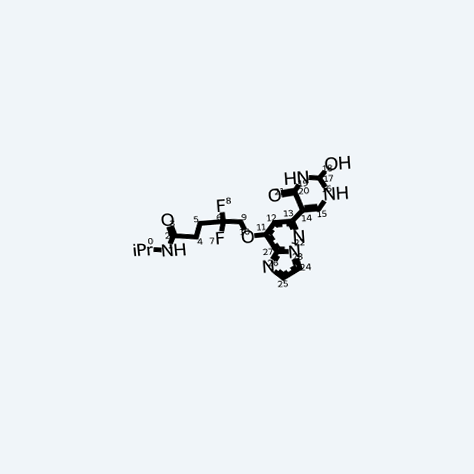 CC(C)NC(=O)CCC(F)(F)COc1cc(C2=CNC(O)NC2=O)nn2ccnc12